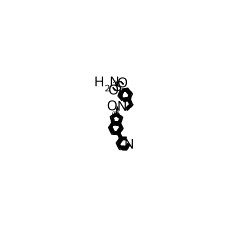 NS(=O)(=O)c1ccc2c(c1)N(C(=O)[C@@H]1Cc3ccc(-c4cccnc4)cc3C1)CC2